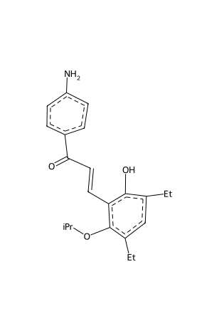 CCc1cc(CC)c(OC(C)C)c(C=CC(=O)c2ccc(N)cc2)c1O